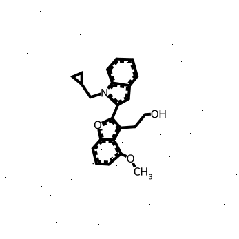 COc1c[c]cc2oc(-c3cc4ccccc4n3CC3CC3)c(CCO)c12